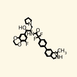 CN1NCc2ccc(-c3ccc(C(F)(F)C(=O)N[C@H](CN4CCCC4)[C@H](O)c4cc(F)c5c(c4)OCCO5)cc3)cc21